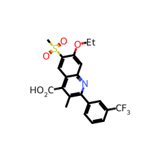 CCOc1cc2nc(-c3cccc(C(F)(F)F)c3)c(C)c(C(=O)O)c2cc1S(C)(=O)=O